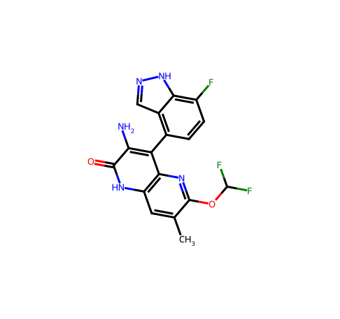 Cc1cc2[nH]c(=O)c(N)c(-c3ccc(F)c4[nH]ncc34)c2nc1OC(F)F